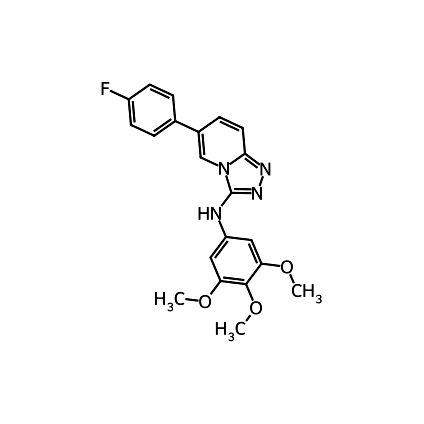 COc1cc(Nc2nnc3ccc(-c4ccc(F)cc4)cn23)cc(OC)c1OC